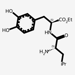 CCOC(=O)[C@H](Cc1ccc(O)c(O)c1)NC(=O)[C@@H](N)CC(C)C